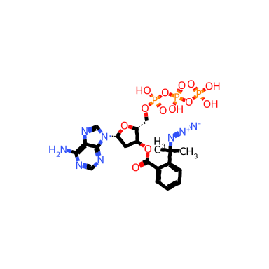 CC(C)(N=[N+]=[N-])c1ccccc1C(=O)OC1C[C@H](n2cnc3c(N)ncnc32)O[C@@H]1COP(=O)(O)OP(=O)(O)OP(=O)(O)O